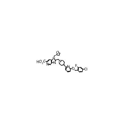 O=C(O)c1cc2c(cn1)nc(CN1CCC(c3cccc(OCc4ccc(Cl)cc4F)n3)CC1)n2C[C@@H]1CCO1